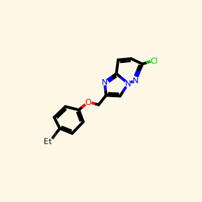 CCc1ccc(OCc2cn3nc(Cl)ccc3n2)cc1